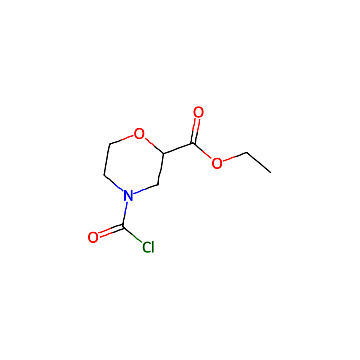 CCOC(=O)C1CN(C(=O)Cl)CCO1